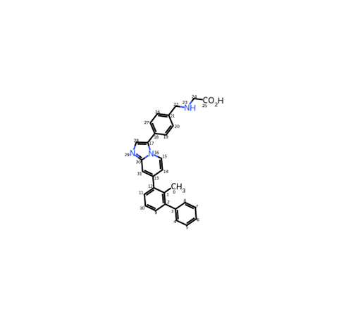 Cc1c(-c2ccccc2)cccc1-c1ccn2c(-c3ccc(CNCC(=O)O)cc3)cnc2c1